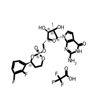 C[C@@]1(O)[C@H](O)[C@@H](CO[P@@]2(=O)OCC[C@@H](c3cccc(F)c3F)O2)O[C@H]1n1ccc2c(=O)[nH]c(N)nc21.O=C(O)C(F)(F)F